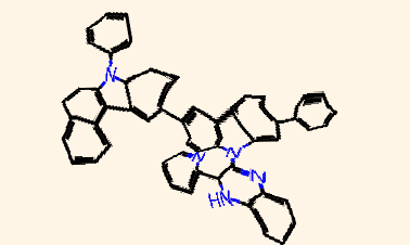 C1=C(c2ccc3c(c2)c2ccc(-c4ccccc4)cc2n3C2=Nc3ccccc3NC2c2ccccn2)C=C2c3c(ccc4ccccc34)N(c3ccccc3)C2C1